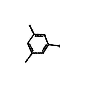 Cc1[c]c(I)cc(C)c1